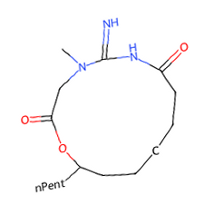 CCCCCC1CCCCCC(=O)NC(=N)N(C)CC(=O)O1